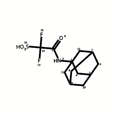 O=C(NC12CC3CC(CC(C3)C1)C2)C(F)(F)S(=O)(=O)O